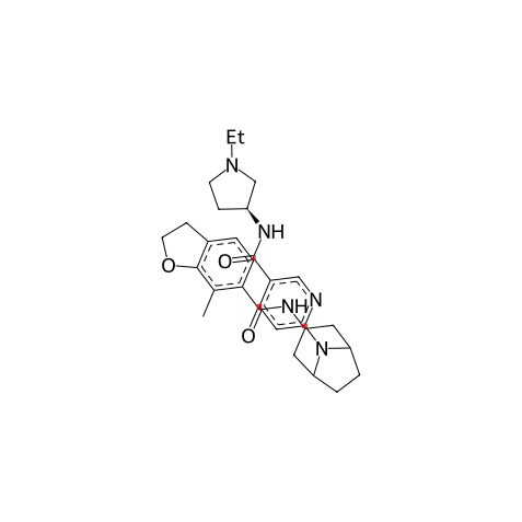 CCN1CC[C@H](NC(=O)c2ccc(N3C4CCC3CC(NC(=O)c3ccc5c(c3C)OCC5)C4)nc2)C1